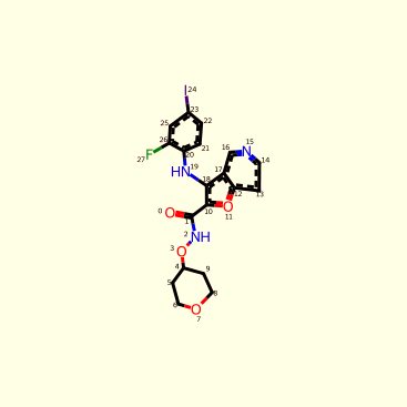 O=C(NOC1CCOCC1)c1oc2ccncc2c1Nc1ccc(I)cc1F